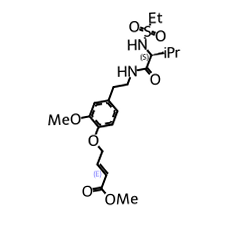 CCS(=O)(=O)N[C@H](C(=O)NCCc1ccc(OC/C=C/C(=O)OC)c(OC)c1)C(C)C